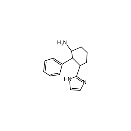 NC1CCCC(c2ncc[nH]2)C1c1ccccc1